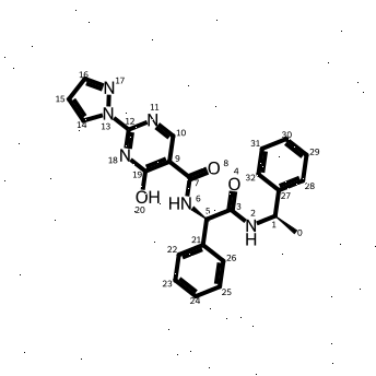 C[C@@H](NC(=O)[C@H](NC(=O)c1cnc(-n2cccn2)nc1O)c1ccccc1)c1ccccc1